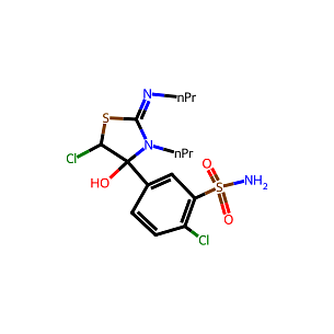 CCCN=C1SC(Cl)C(O)(c2ccc(Cl)c(S(N)(=O)=O)c2)N1CCC